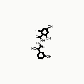 O=C(NNC(=O)C(O)c1cccc(O)c1)c1c(O)cc(O)cc1Cl